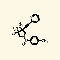 CCC1(N)CN([S+]([O-])c2ccc(C)cc2)CC1(C)C#Cc1ccccn1